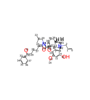 C=CCN1CC[C@]23c4c5c(O)cc(OC)c4O[C@H]2[C@H](N(CC(C)C)C(=O)CCCCC(=O)c2ccccc2)CC[C@H]3[C@H]1C5